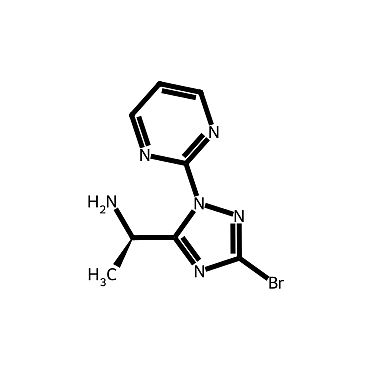 C[C@@H](N)c1nc(Br)nn1-c1ncccn1